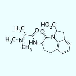 CC(C(=O)NC1CCc2cccc3c2N(C1=O)C(C(=O)O)C3)N(C)C